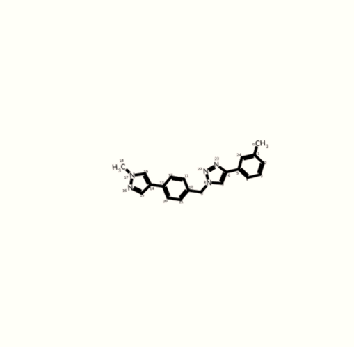 Cc1cccc(-c2cn(Cc3ccc(-c4cnn(C)c4)cc3)nn2)c1